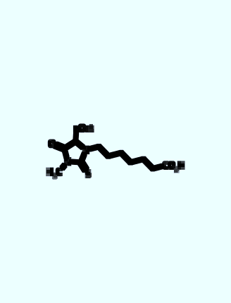 CCCCCCCCC1C(=O)N(C)C(=S)N1CCCCCCC(=O)O